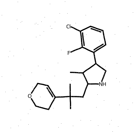 CC1C(CC(C)(C)C2=CCOCC2)NCC1c1cccc(Cl)c1F